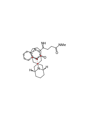 CNC(=O)CCC(=N)c1nc2ccccc2n([C@H]2C[C@H]3CCC[C@@H](C2)N3C2CC3CCCCC(C3)C2)c1=O